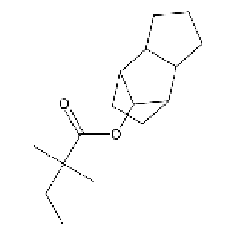 CCC(C)(C)C(=O)OC1C2CCC1C1CCCC12